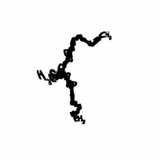 CC/C=C\C/C=C\C/C=C\CCCCCCCC(=O)OCCCCOc1cc(CN(C)C)cc(OCCCCOC(=O)CCCCCCC/C=C\C/C=C\C/C=C\CC)c1